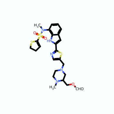 CN1CCN(Cc2cnc(-c3cc4cccc(N(C)S(=O)(=O)C5=CCCS5)c4[nH]3)s2)CC1COC=O